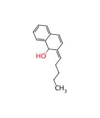 CCCCC=C1C=Cc2ccccc2C1O